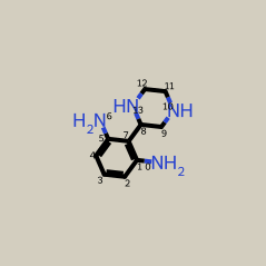 Nc1cccc(N)c1C1CNCCN1